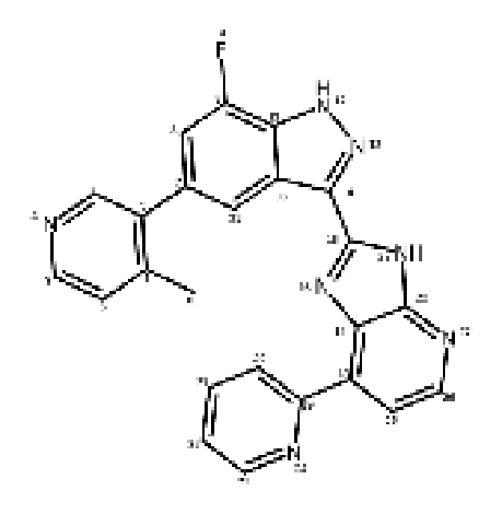 Cc1ccncc1-c1cc(F)c2[nH]nc(-c3nc4c(-c5ccccn5)ccnc4[nH]3)c2c1